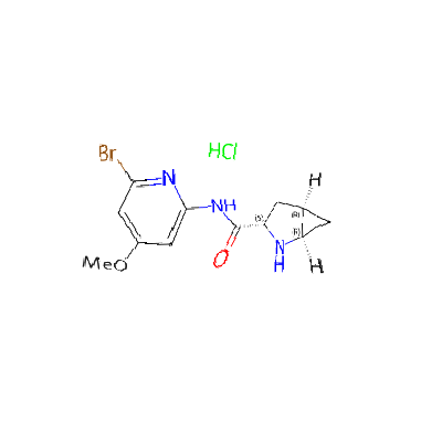 COc1cc(Br)nc(NC(=O)[C@@H]2C[C@H]3C[C@H]3N2)c1.Cl